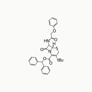 CC(C)(C)C1=C(C(=O)OC(c2ccccc2)c2ccccc2)N2C(=O)C(NC(=O)COc3ccccc3)[C@@H]2SC1